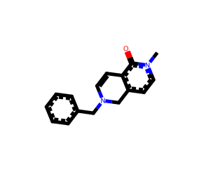 Cn1ccc2c(c1=O)C=CN(Cc1ccccc1)C2